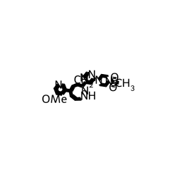 C=C1/C=C(c2cnccc2OC)\C=C/CN/N=C\1c1cc(N2CCN(S(C)(=O)=O)CC2)ncn1